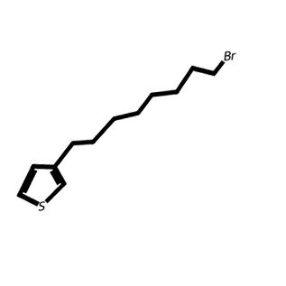 BrCCCCCCCCc1ccsc1